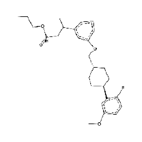 CCCO[PH](=O)CC(C)c1cccc(OC[C@H]2CC[C@H](c3cc(OC)ccc3F)CC2)c1